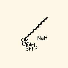 CCCCCCCCCCCCCCCCCC(=O)OC(=O)C(N)CS.[NaH]